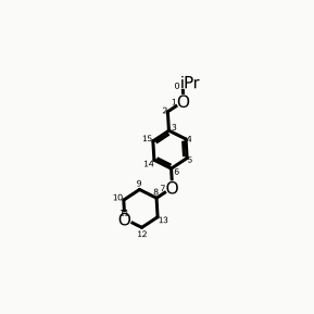 CC(C)OCc1ccc(OC2CCOCC2)cc1